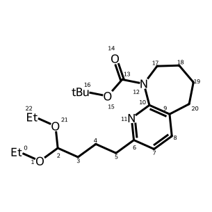 CCOC(CCCc1ccc2c(n1)N(C(=O)OC(C)(C)C)CCCC2)OCC